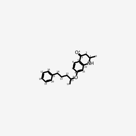 CC1CC(=O)c2ccc(OC(C)CCCc3ccccc3)cc2N1